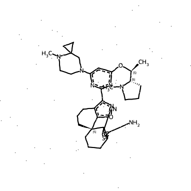 C[C@H](Oc1cc(N2CCN(C)C3(CC3)C2)nc(-c2noc3c2CCC[C@@]32CCCc3sc(N)c(C#N)c32)n1)[C@@H]1CCCN1C